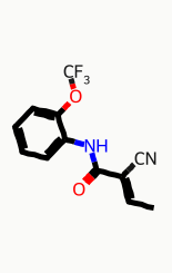 C/C=C(\C#N)C(=O)Nc1ccccc1OC(F)(F)F